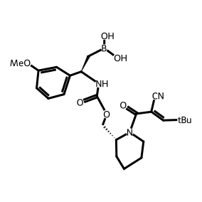 COc1cccc([C@@H](CB(O)O)NC(=O)OC[C@H]2CCCCN2C(=O)C(C#N)=CC(C)(C)C)c1